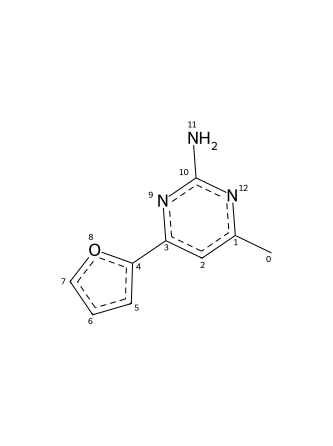 Cc1cc(-c2ccco2)nc(N)n1